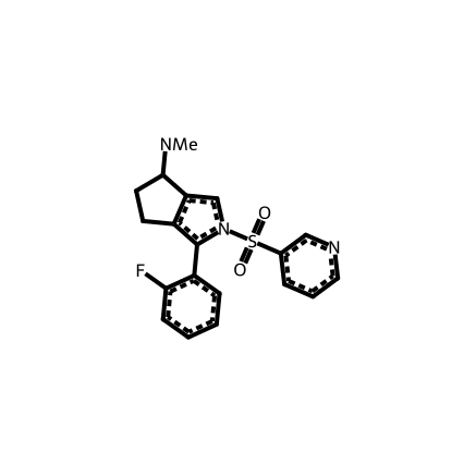 CNC1CCc2c1cn(S(=O)(=O)c1cccnc1)c2-c1ccccc1F